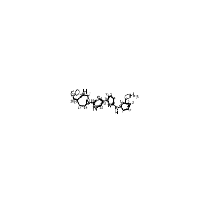 Cc1cccc(Nc2cccc(-c3cnc(N4CCC(CC(=O)O)CC4)s3)n2)n1